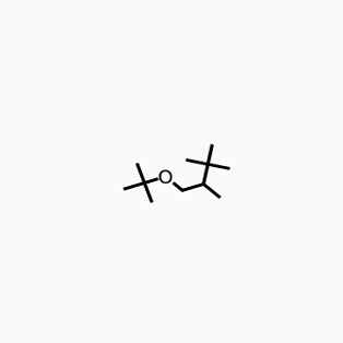 CC(COC(C)(C)C)C(C)(C)C